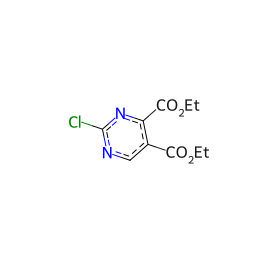 CCOC(=O)c1cnc(Cl)nc1C(=O)OCC